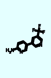 Nc1ccc(-c2cncc(C(F)(F)F)c2)cn1